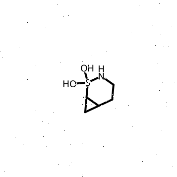 OS1(O)NCCC2C[C]21